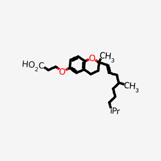 CC(C)CCCC(C)CC=CC1(C)CCc2cc(OCCC(=O)O)ccc2O1